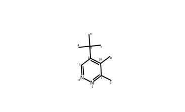 Cc1nncc(C(C)(C)C)c1C